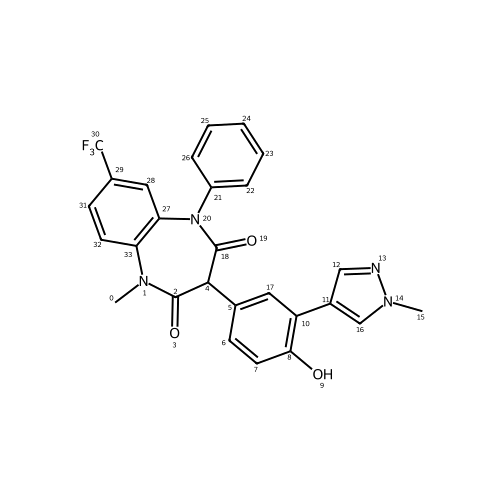 CN1C(=O)C(c2ccc(O)c(-c3cnn(C)c3)c2)C(=O)N(c2ccccc2)c2cc(C(F)(F)F)ccc21